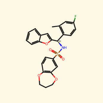 Cc1cc(F)ccc1[C@@H](NS(=O)(=O)c1ccc2c(c1)OCCCO2)c1cc2ccccc2o1